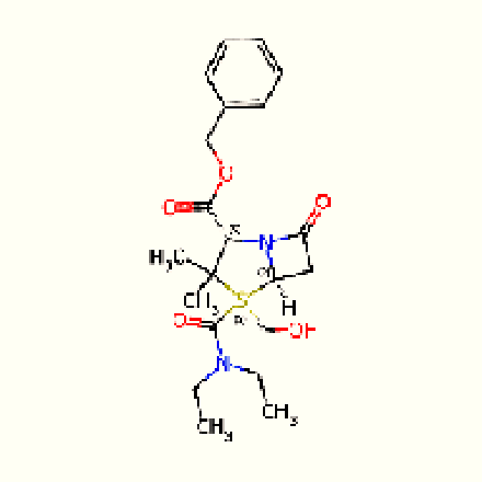 CCN(CC)C(=O)[S@]1(CO)[C@@H]2CC(=O)N2[C@@H](C(=O)OCc2ccccc2)C1(C)C